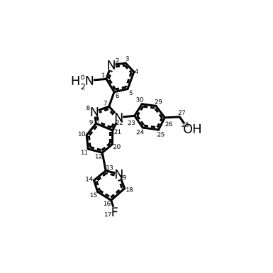 Nc1ncccc1-c1nc2ccc(-c3ccc(F)cn3)cc2n1-c1ccc(CO)cc1